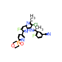 Cc1nc2cc(F)c(-c3ccc(P4(=O)CCOCC4)nc3)nc2c(N[C@H](C)c2cc(C#N)ccc2F)c1Cl